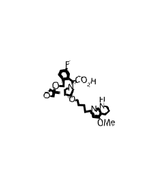 COc1cc(CCCCO[C@@H]2CCN([C@@H](C(=O)O)c3cc(F)ccc3COC3(C)COC3)C2)nc2c1CCCN2